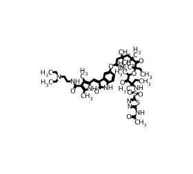 CCN(CC)CCNC(=O)c1c(C)[nH]c(/C=C2\C(=O)Nc3ccc(OC(=O)CC(C)(C)CC(C)(C)C(=O)C(C)(CC)OC(C)C(=O)C(C)(CC)NS(=O)(=O)c4nnc(NC(C)=O)s4)cc32)c1C